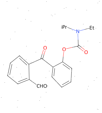 CCN(C(=O)Oc1ccccc1C(=O)c1ccccc1[C]=O)C(C)C